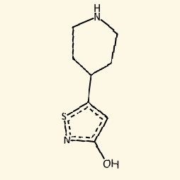 Oc1cc(C2CCNCC2)sn1